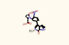 Cn1cc(-c2ccc([N+](=O)[O-])c(N3C(=O)CCC3C(=O)O)c2)c2cc[nH]c2c1=O